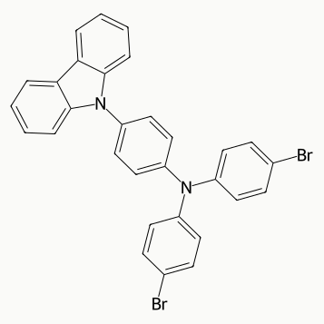 Brc1ccc(N(c2ccc(Br)cc2)c2ccc(-n3c4ccccc4c4ccccc43)cc2)cc1